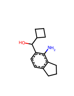 Nc1c(C(O)C2CCC2)ccc2c1CCC2